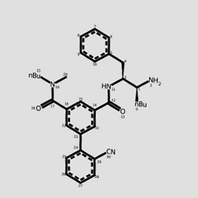 CCCC[C@H](N)[C@H](Cc1ccccc1)NC(=O)c1cc(C(=O)N(C)CCCC)cc(-c2ccccc2C#N)c1